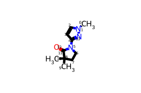 Cn1ccc(N2CCC(C)(C)C2=O)n1